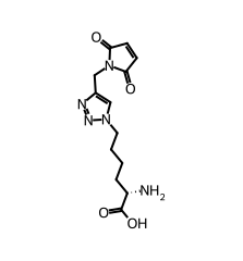 N[C@@H](CCCCn1cc(CN2C(=O)C=CC2=O)nn1)C(=O)O